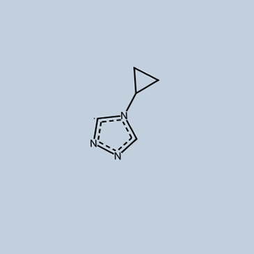 [c]1nncn1C1CC1